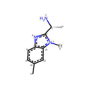 CCn1c([C@@H](C)N)nc2ccc(C)cc21